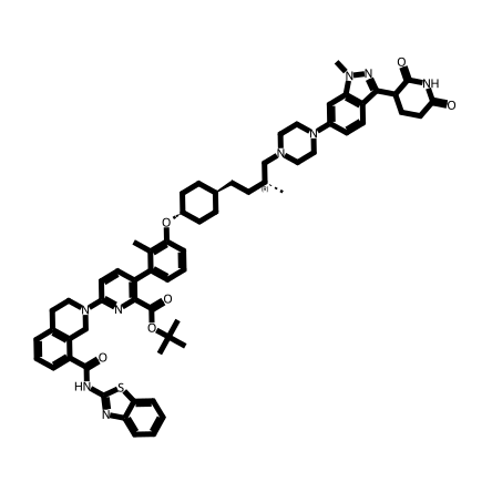 Cc1c(O[C@H]2CC[C@H](CC[C@@H](C)CN3CCN(c4ccc5c(C6CCC(=O)NC6=O)nn(C)c5c4)CC3)CC2)cccc1-c1ccc(N2CCc3cccc(C(=O)Nc4nc5ccccc5s4)c3C2)nc1C(=O)OC(C)(C)C